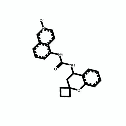 O=C(Nc1cccc2c[n+]([O-])ccc12)NC1CC2(CCC2)Oc2ccccc21